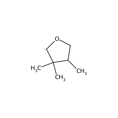 CC1CO[CH]C1(C)C